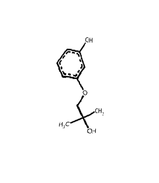 CC(C)(O)COc1cccc(O)c1